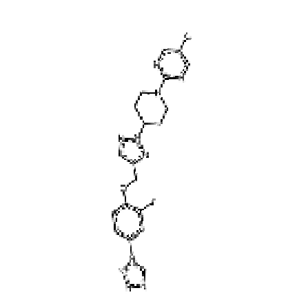 Fc1cc(-n2cnnn2)ccc1OCc1cnn(C2CCN(c3ncc(Cl)cn3)CC2)n1